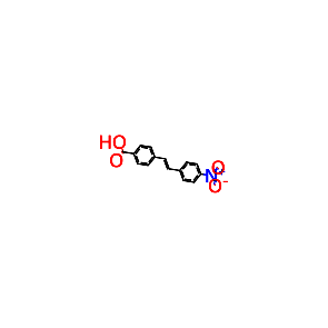 O=C(O)c1ccc(C=Cc2ccc([N+](=O)[O-])cc2)cc1